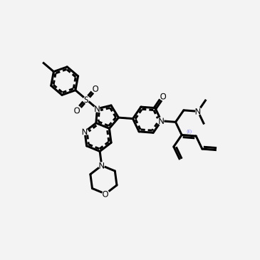 C=C/C=C(\C=C)C(CN(C)C)n1ccc(-c2cn(S(=O)(=O)c3ccc(C)cc3)c3ncc(N4CCOCC4)cc23)cc1=O